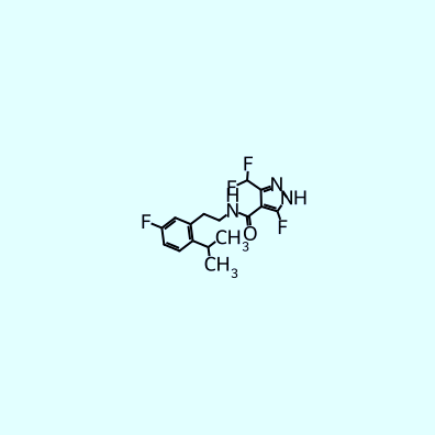 CC(C)c1ccc(F)cc1CCNC(=O)c1c(C(F)F)n[nH]c1F